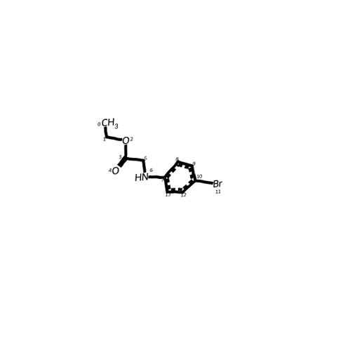 CCOC(=O)CNc1ccc(Br)cc1